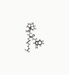 CC(C)=CCC/C(C)=C/CN(CCNC1C2CC3CC4CC1CC34C2)C(=O)CCc1c[nH]c2ccccc12